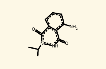 CC(C)n1[nH]c(=O)c2c(N)cccc2c1=O